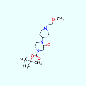 COCCN1CCC(N2CCN(C(=O)OC(C)(C)C)CC2=O)CC1